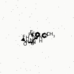 CN1CCC(Nc2cccc3c2cc(-c2noc(CNC(=O)[C@@H]4C[C@@H]4F)n2)n3CC(F)(F)F)CC1